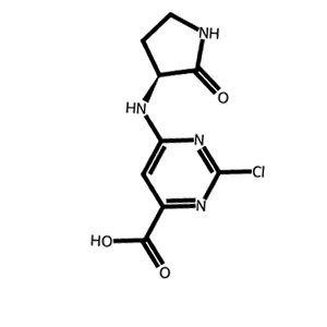 O=C(O)c1cc(N[C@H]2CCNC2=O)nc(Cl)n1